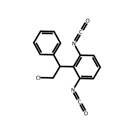 O=C=Nc1cccc(N=C=O)c1C(CCl)c1ccccc1